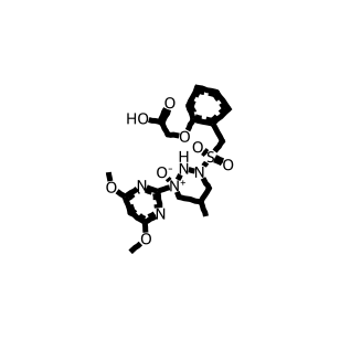 COc1cc(OC)nc([N+]2([O-])CC(C)CN(S(=O)(=O)Cc3ccccc3OCC(=O)O)N2)n1